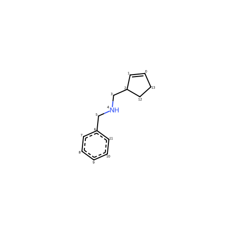 C1=CC(CNCc2ccccc2)CC1